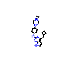 CC(=O)N1CCN(C2=CCC(Nc3nc(CC4CCC4)c4cc[nH]c4n3)C=C2)CC1